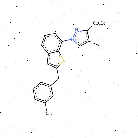 CCOC(=O)c1nn(-c2cccc3cc(Cc4cccc(C(F)(F)F)c4)sc23)cc1C